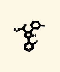 CC1C=C(c2[nH]c(-c3ccncc3F)cc2C(N)=O)C=CC1